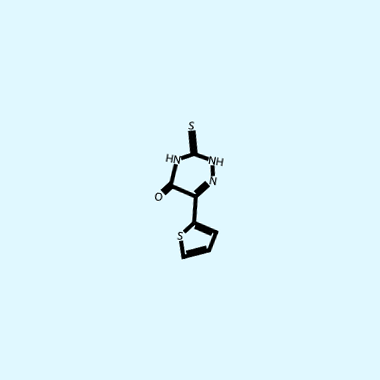 O=c1[nH]c(=S)[nH]nc1-c1cccs1